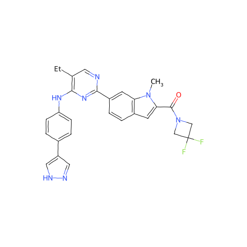 CCc1cnc(-c2ccc3cc(C(=O)N4CC(F)(F)C4)n(C)c3c2)nc1Nc1ccc(-c2cn[nH]c2)cc1